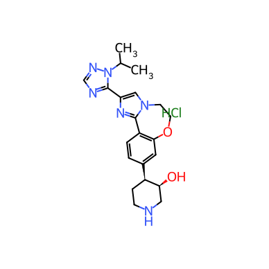 CC(C)n1ncnc1-c1cn2c(n1)-c1ccc([C@@H]3CCNC[C@@H]3O)cc1OCC2.Cl